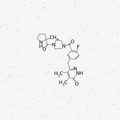 Cc1c(Cc2ccc(F)c(C(=O)N3CCN(C(=O)C4(C)CCCN4)CC3)c2)n[nH]c(=O)c1C